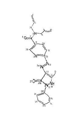 C=CCN(CC=C)C(=O)c1ccc(N=Nc2c(C)[nH]n(-c3ccccc3)c2=O)cc1